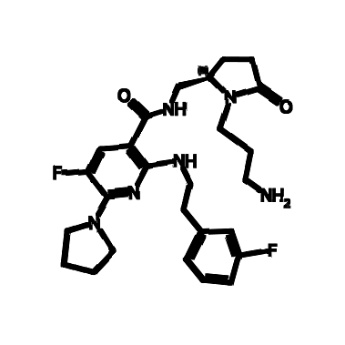 NCCCN1C(=O)CC[C@@H]1CNC(=O)c1cc(F)c(N2CCCC2)nc1NCCc1cccc(F)c1